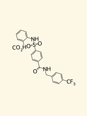 O=C(NCc1ccc(C(F)(F)F)cc1)c1ccc(S(=O)(=O)Nc2ccccc2C(=O)O)cc1